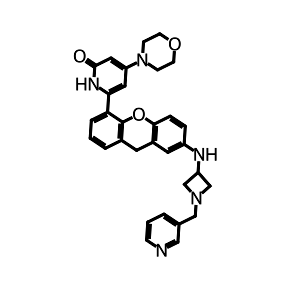 O=c1cc(N2CCOCC2)cc(-c2cccc3c2Oc2ccc(NC4CN(Cc5cccnc5)C4)cc2C3)[nH]1